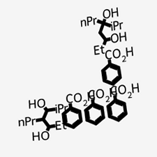 CCCC(C(O)CC)C(O)C(C)C.CCCC(O)(CC(O)CC)C(C)C.O=C(O)c1ccccc1.O=C(O)c1ccccc1.O=C(O)c1ccccc1.O=C(O)c1ccccc1